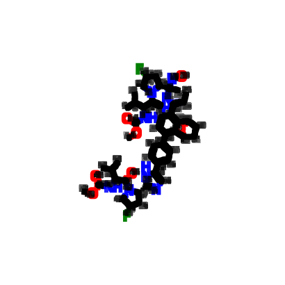 C=C([C@@H](NC(=O)OC)C(C)C)N1C[C@H](F)C[C@H]1C(C)(N=O)N/C(=C\C)c1ccc(-c2ccc(-c3cnc([C@@H]4C[C@@H](F)CN4C(=O)[C@@H](NC(=O)OC)C(C)C)[nH]3)cc2)c2c1C1CCC2O1